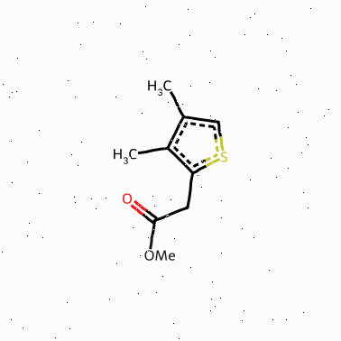 COC(=O)Cc1scc(C)c1C